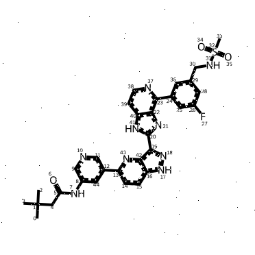 CC(C)(C)CC(=O)Nc1cncc(-c2ccc3[nH]nc(-c4nc5c(-c6cc(F)cc(CNS(C)(=O)=O)c6)nccc5[nH]4)c3n2)c1